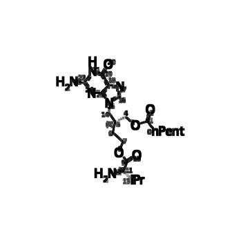 CCCCCC(=O)OC[C@H](CCOC(=O)[C@@H](N)C(C)C)Cn1cnc2c(=O)[nH]c(N)nc21